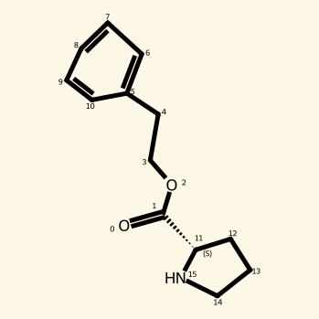 O=C(OCCc1ccccc1)[C@@H]1CCCN1